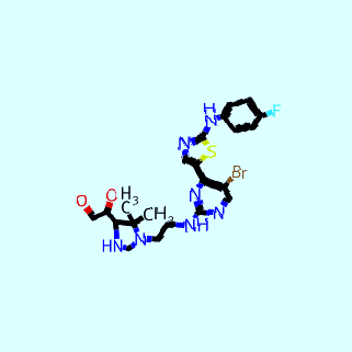 CC1(C)C(C(=O)C=O)NCN1CCNc1ncc(Br)c(-c2cnc(Nc3ccc(F)cc3)s2)n1